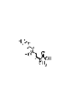 CCCCC(O)CC=C(C)C(=O)O